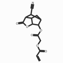 C=CC(=O)OCC(=O)OC1C2CC3C1OC(=O)C3C2C#N